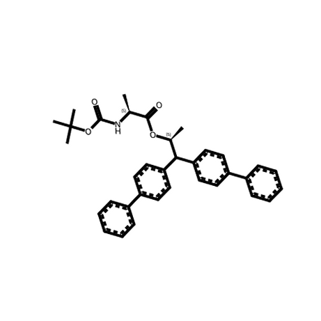 C[C@H](NC(=O)OC(C)(C)C)C(=O)O[C@@H](C)C(c1ccc(-c2ccccc2)cc1)c1ccc(-c2ccccc2)cc1